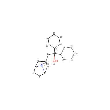 CN1C2CCC1CC(CC(O)(C1CCCCC1)C1CCCCC1)C2